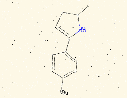 CC1CC=C(c2ccc(C(C)(C)C)cc2)N1